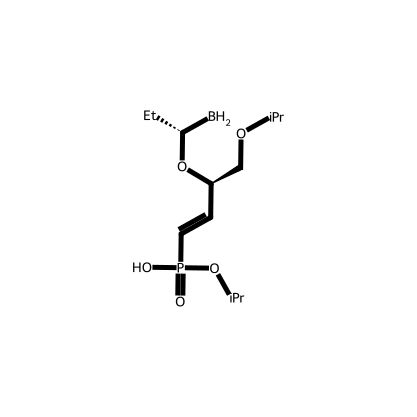 B[C@@H](CC)O[C@H](/C=C/P(=O)(O)OC(C)C)COC(C)C